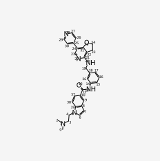 CN(C)CCn1ccc2cc(C(=O)Nc3cccc(CNc4ncc(-c5ccncc5)c5c4CCO5)c3)ccc21